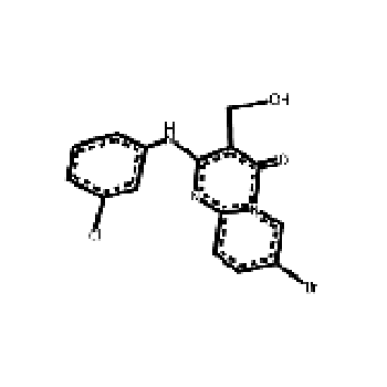 O=c1c(CO)c(Nc2cccc(Cl)c2)nc2ccc(Br)cn12